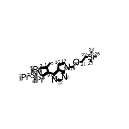 Cc1cn([Si](C(C)C)(C(C)C)C(C)C)cc1-c1ncnc2c1ccn2COCC[Si](C)(C)C